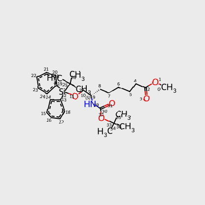 COC(=O)CCCCC[C@@H](CO[Si](c1ccccc1)(c1ccccc1)C(C)(C)C)NC(=O)OC(C)(C)C